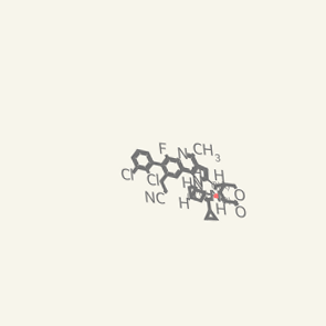 Cc1nc2c(F)c(-c3cccc(Cl)c3Cl)c(CCC#N)cc2c2c1cc([C@H]1[C@@H]3COC(=O)[C@@H](C3)N1C(=O)C1CC1)n2[C@H]1[C@H]2CN[C@@H]1C2